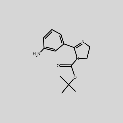 CC(C)(C)OC(=O)N1CCN=C1c1cccc(N)c1